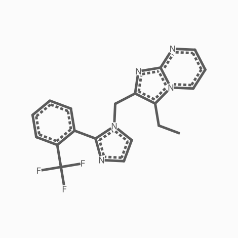 CCc1c(Cn2ccnc2-c2ccccc2C(F)(F)F)nc2ncccn12